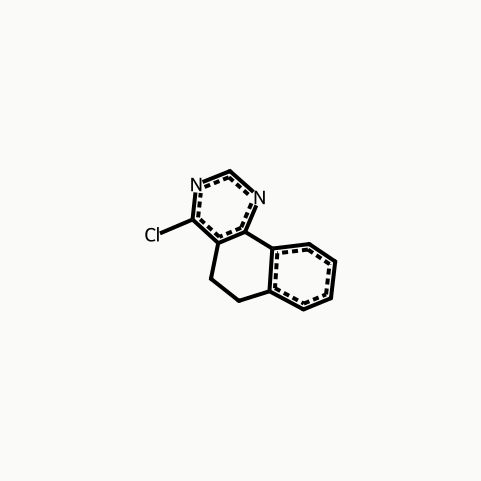 Clc1ncnc2c1CCc1ccccc1-2